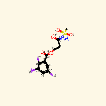 CS(=O)(=O)NC(=O)CCOC(=O)c1cc(I)cc(I)c1I